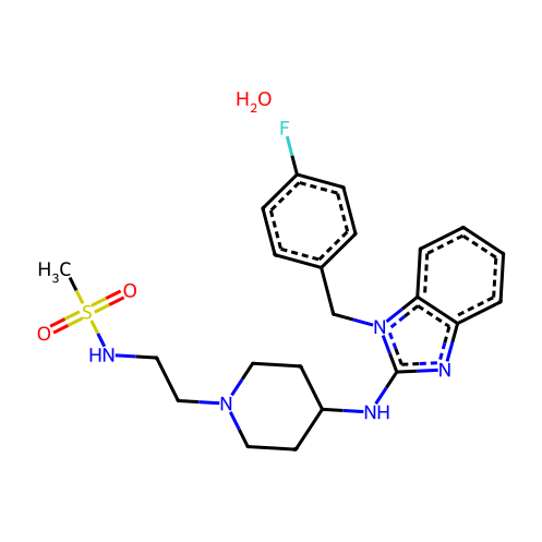 CS(=O)(=O)NCCN1CCC(Nc2nc3ccccc3n2Cc2ccc(F)cc2)CC1.O